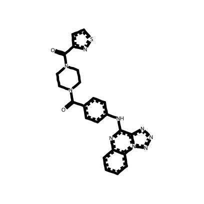 O=C(c1ccc(Nc2nc3ccccc3n3nnnc23)cc1)N1CCN(C(=O)c2ccsn2)CC1